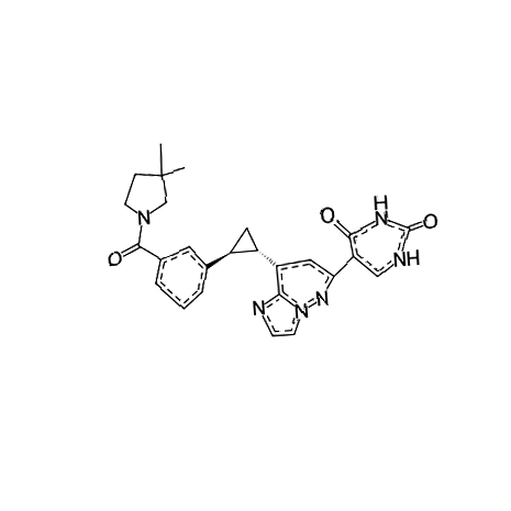 CC1(C)CCN(C(=O)c2cccc([C@H]3C[C@@H]3c3cc(-c4c[nH]c(=O)[nH]c4=O)nn4ccnc34)c2)C1